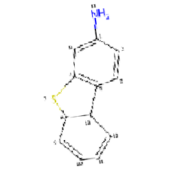 Nc1ccc2c(c1)SC1C=CC=CC21